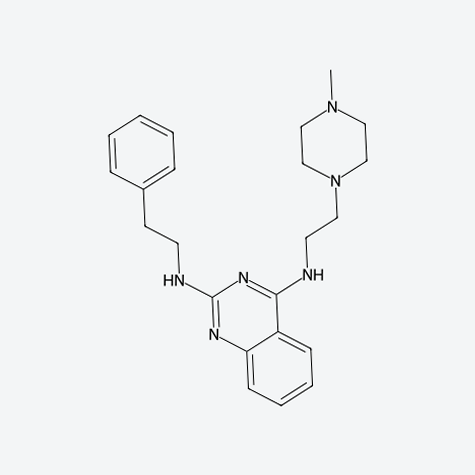 CN1CCN(CCNc2nc(NCCc3ccccc3)nc3ccccc23)CC1